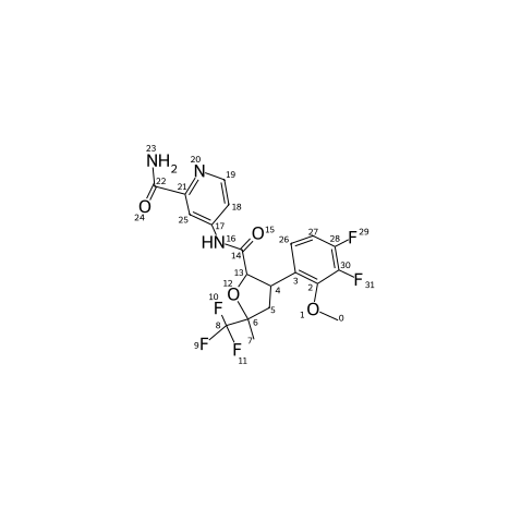 COc1c(C2CC(C)(C(F)(F)F)OC2C(=O)Nc2ccnc(C(N)=O)c2)ccc(F)c1F